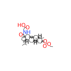 CCOC(=O)O[C@@H]1CC[C@]2(C)[C@H]3CCC4[C@@H]5[C@H](C(C)C)CC[C@]5(C(=O)NCC(=O)O)CC[C@@]4(C)[C@]3(C)CC[C@H]2C1(C)C